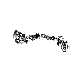 O=C1CCC(N2C(=O)c3cccc(NCCOCCOCCOCCN4CCN(c5ccc(-c6ccc7c(c6)C(=O)N(C(C(=O)Nc6nccs6)c6ccccc6O)C7)cc5)CC4)c3C2=O)C(=O)N1